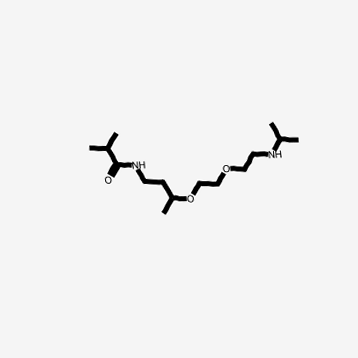 CC(C)NCCOCCOC(C)CCNC(=O)C(C)C